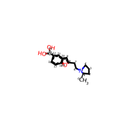 C[C@@H]1CCCN1CCc1cc2cc(B(O)O)ccc2o1